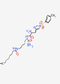 CCCCCCCC(=O)NCCCCC(NC(=O)C(N)Cc1cn(S(=O)(=O)c2ccc(C)cc2)cn1)C(N)=O